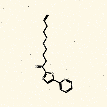 C=CCCCCCCCC(=O)c1ncc(-c2ccccn2)o1